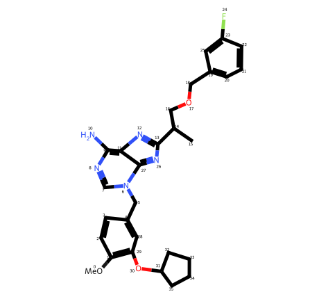 COc1ccc(Cn2cnc(N)c3nc(C(C)COCc4cccc(F)c4)nc2-3)cc1OC1CCCC1